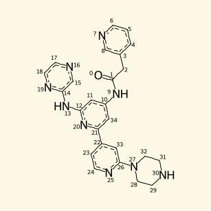 O=C(Cc1cccnc1)Nc1cc(Nc2cnccn2)nc(-c2ccnc(N3CCNCC3)c2)c1